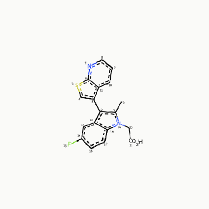 Cc1c(-c2csc3ncccc23)c2cc(F)ccc2n1CC(=O)O